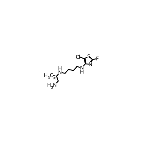 C[C@H](CN)NCCCCNc1nc(F)sc1Cl